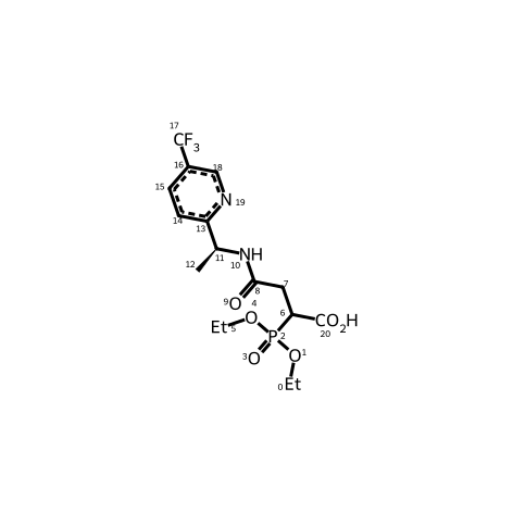 CCOP(=O)(OCC)C(CC(=O)N[C@@H](C)c1ccc(C(F)(F)F)cn1)C(=O)O